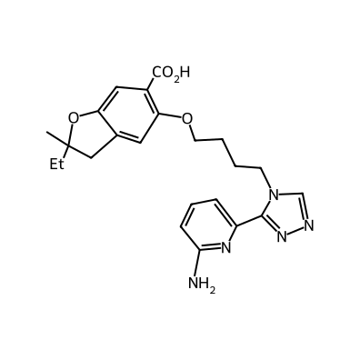 CCC1(C)Cc2cc(OCCCCn3cnnc3-c3cccc(N)n3)c(C(=O)O)cc2O1